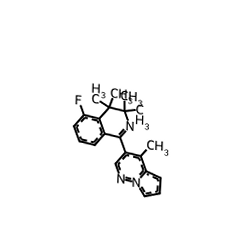 Cc1c(C2=NC(C)(C)C(C)(C)c3c(F)cccc32)cnn2cccc12